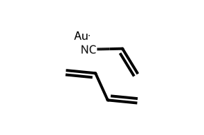 C=CC#N.C=CC=C.[Au]